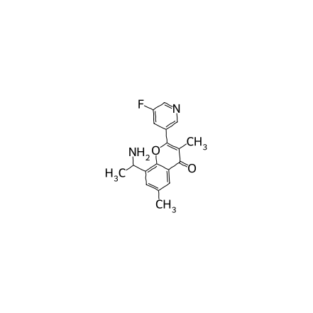 Cc1cc(C(C)N)c2oc(-c3cncc(F)c3)c(C)c(=O)c2c1